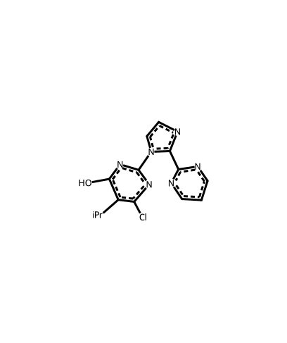 CC(C)c1c(O)nc(-n2ccnc2-c2ncccn2)nc1Cl